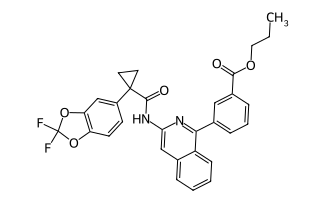 CCCOC(=O)c1cccc(-c2nc(NC(=O)C3(c4ccc5c(c4)OC(F)(F)O5)CC3)cc3ccccc23)c1